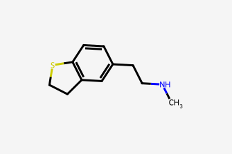 CNCCc1ccc2c(c1)CCS2